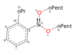 CCCCCO[SiH](OCCCCC)c1ccccc1CCC